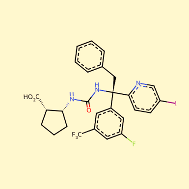 O=C(N[C@@H]1CCC[C@@H]1C(=O)O)N[C@@](Cc1ccccc1)(c1cc(F)cc(C(F)(F)F)c1)c1ccc(I)cn1